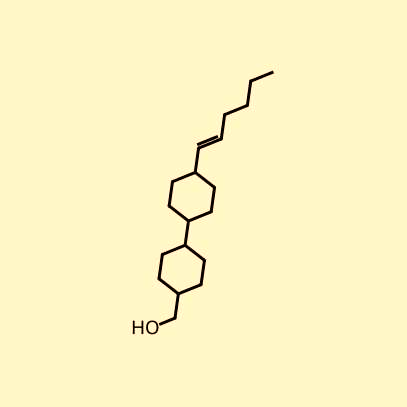 CCCCC=CC1CCC(C2CCC(CO)CC2)CC1